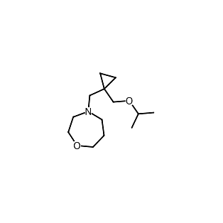 CC(C)OCC1(CN2CCCOCC2)CC1